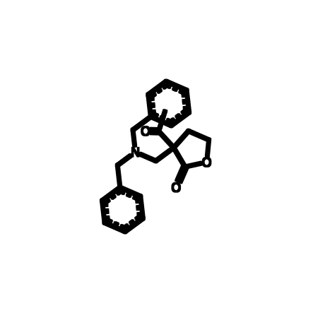 CC(=O)C1(CN(Cc2ccccc2)Cc2ccccc2)CCOC1=O